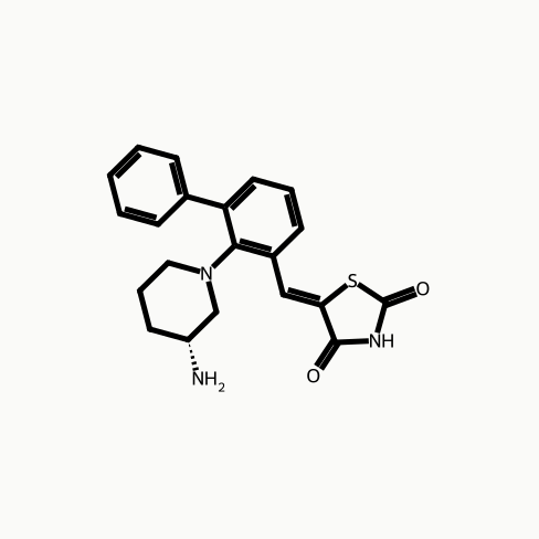 N[C@@H]1CCCN(c2c(/C=C3\SC(=O)NC3=O)cccc2-c2ccccc2)C1